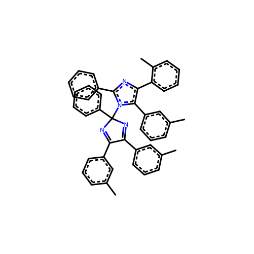 Cc1cccc(C2=NC(c3ccccc3)(n3c(-c4ccccc4)nc(-c4ccccc4C)c3-c3cccc(C)c3)N=C2c2cccc(C)c2)c1